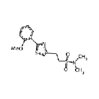 COc1ccccc1-c1nc(CCS(=O)(=O)N(C)C)cs1